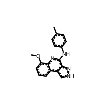 COc1cccc2c1nc(Nc1ccc(C)cc1)c1n[nH]cc12